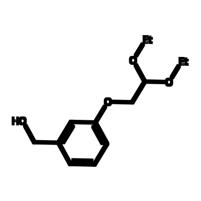 CCOC(COc1cccc(CO)c1)OCC